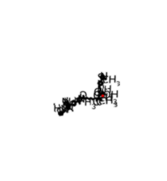 Cc1ncsc1-c1ccc(CNC(=O)[C@@H]2C[C@@H](O)CN2C(=O)[C@H](C(=O)CCCCCCC(=O)N2CCN(c3ccc(-c4ncc(NCc5ccco5)n5cnnc45)cc3)CC2)C(C)(C)C)cc1